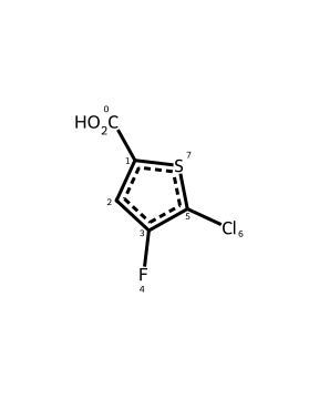 O=C(O)c1cc(F)c(Cl)s1